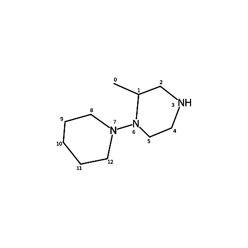 CC1CNCCN1N1CCCCC1